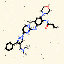 CCC=CC(=O)Nc1cc(Nc2nccc(-n3cc(CN(C)C)c(-c4ccccc4)n3)n2)c(OC)cc1N1CCOCC1